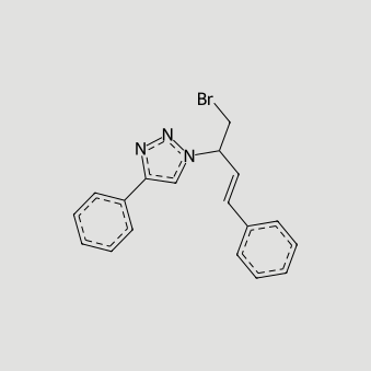 BrCC(/C=C/c1ccccc1)n1cc(-c2ccccc2)nn1